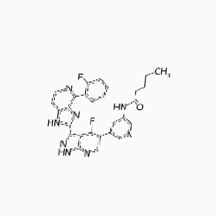 CCCCC(=O)Nc1cncc(-c2cnc3[nH]nc(-c4nc5c(-c6ccccc6F)nccc5[nH]4)c3c2F)c1